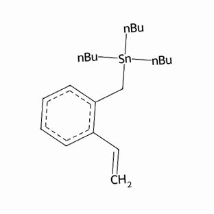 C=Cc1ccccc1[CH2][Sn]([CH2]CCC)([CH2]CCC)[CH2]CCC